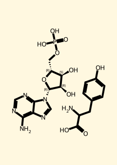 NC(Cc1ccc(O)cc1)C(=O)O.Nc1ncnc2c1ncn2[C@@H]1O[C@H](COP(=O)(O)O)[C@@H](O)[C@H]1O